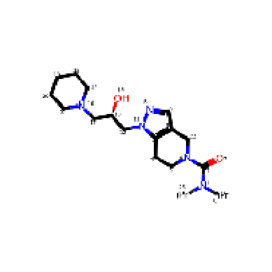 CC(C)N(C(=O)N1CCc2c(cnn2C[C@H](O)CN2CCCCC2)C1)C(C)C